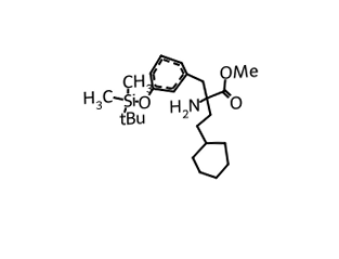 COC(=O)C(N)(CCC1CCCCC1)Cc1cccc(O[Si](C)(C)C(C)(C)C)c1